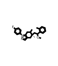 COC(C[C@@]1(C)Cc2cnn(-c3ccc(F)cc3)c2CC1C)c1ccccc1C